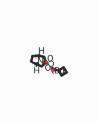 CC(C)(C)OC(=O)N1[C@@H]2CC[C@H]1C[C@@H](OCC1CCC1)C2